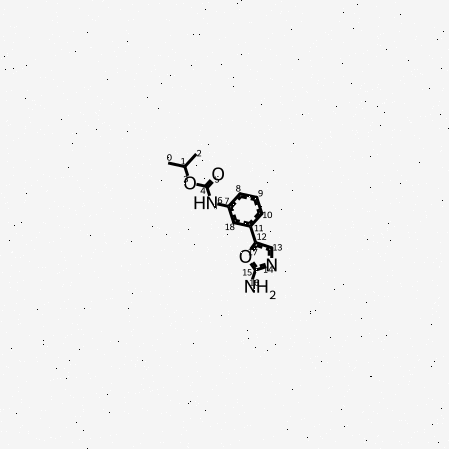 CC(C)OC(=O)Nc1cccc(-c2cnc(N)o2)c1